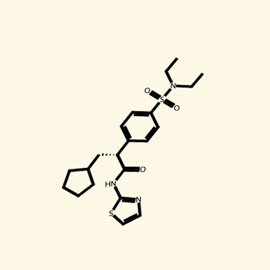 CCN(CC)S(=O)(=O)c1ccc([C@@H](CC2CCCC2)C(=O)Nc2nccs2)cc1